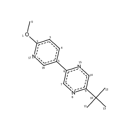 COc1ccc(-c2cnc(C(C)(C)C)cn2)cn1